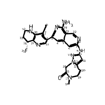 Cc1c(-c2cc3cc(Nc4cc5n(n4)CC(=O)N(C)CC5)ncc3c(N)n2)cnc2c1NCC[C@H]2F